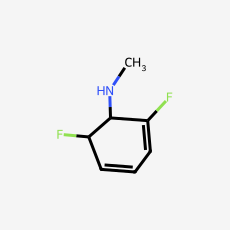 CNC1C(F)=CC=CC1F